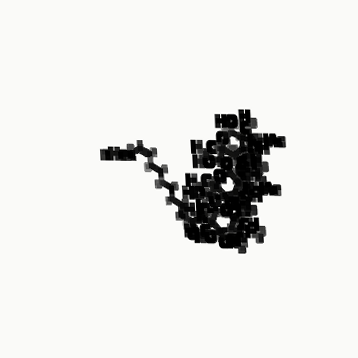 CCCCCC/C=C\CCCCC/C=C/C(=O)NC1(C)[C@](C)(O[C@]2(C)C(C)(CO)O[C@@](C)(O[C@]3(C)C(C)(CO)OC(O)C(C)(NC(C)=O)[C@@]3(C)O)C(C)(NC(C)=O)[C@@]2(C)O)OC(C)(CC)[C@@](C)(O)[C@]1(C)O